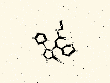 C=COC(=O)[C]=C(c1cccnc1)N1C(=O)OC[C@H]1c1ccccc1